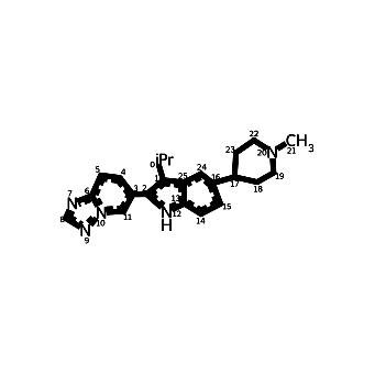 CC(C)c1c(-c2ccc3ncnn3c2)[nH]c2ccc(C3CCN(C)CC3)cc12